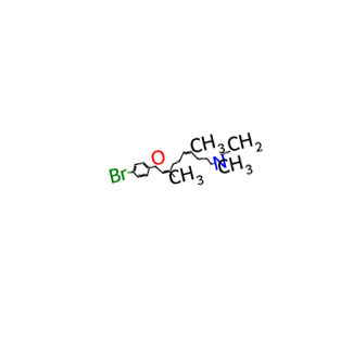 C=CCN(C)CCCC(C)=CCCC(C)=CC(=O)c1ccc(Br)cc1